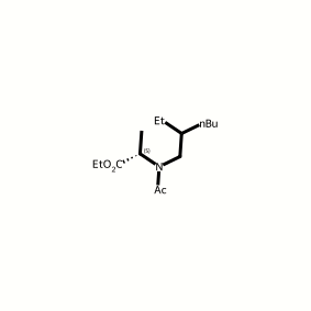 CCCCC(CC)CN(C(C)=O)[C@@H](C)C(=O)OCC